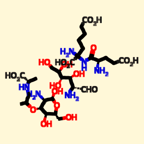 CC(CN[C@@H](C)C(=O)O)O[C@@H]1[C@@H](N)[C@@H](O)O[C@H](CO)[C@H]1O.N[C@@H](C=O)[C@@H](O)[C@H](O)[C@H](O)CO.N[C@H](CCC(=O)O)C(=O)NC(N)(CCCCC(=O)O)C(=O)O